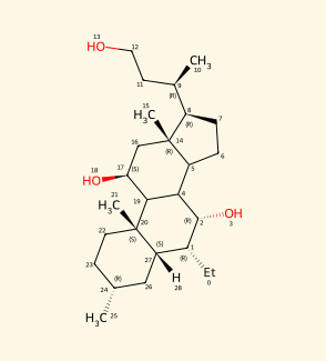 CC[C@H]1[C@@H](O)C2C3CC[C@H]([C@H](C)CCO)[C@@]3(C)C[C@H](O)C2[C@@]2(C)CC[C@@H](C)C[C@@H]12